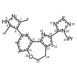 Cc1n[nH]c(C)c1-c1ccc2c(c1)-c1nc(-c3ncnn3C(C)C)sc1CCO2